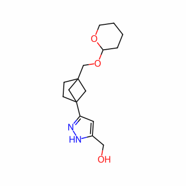 OCc1cc(C23CCC(COC4CCCCO4)(C2)C3)n[nH]1